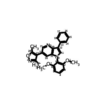 COc1cccc(OC)c1-n1cc(-c2ccccc2)c2ncc(-c3c(C)noc3C)cc21